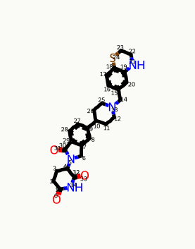 O=C1CCC(N2Cc3cc(C4CCN(Cc5ccc6c(c5)NCCS6)CC4)ccc3C2=O)C(=O)N1